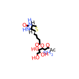 CC(=O)C(=O)[C@H](N)[C@@H](OC(=O)CCCC[C@@H]1SC[C@@H]2NC(=O)N[C@@H]21)[C@@H](O)[C@H](O)CO